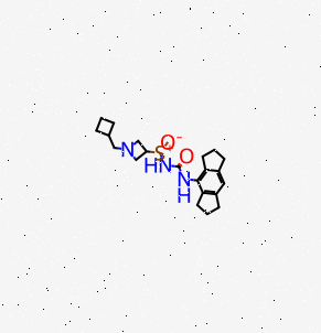 O=C(Nc1c2c(cc3c1CCC3)CCC2)N[S+]([O-])C1CN(CC2CCC2)C1